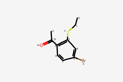 CCSc1cc(Br)ccc1C(C)=O